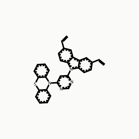 C=Cc1ccc2c(c1)c1cc(C=C)ccc1n2-c1cc(N2c3ccccc3Sc3ccccc32)ncn1